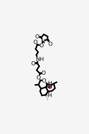 CC1C(OC(=O)CCC(=O)NCCCC(=O)ON2C(=O)CCC2=O)O[C@H]2OC3(C)CC[C@H]4[C@H](C)CCC1C24OO3